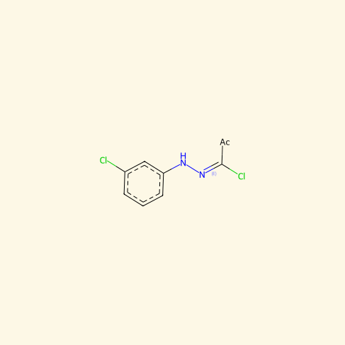 CC(=O)/C(Cl)=N\Nc1cccc(Cl)c1